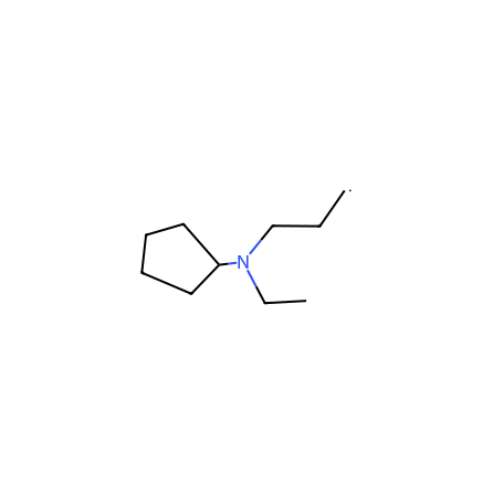 [CH2]CCN(CC)C1CCCC1